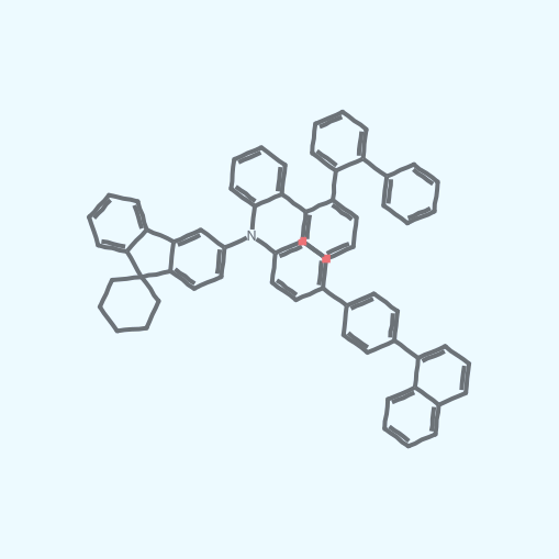 c1ccc(-c2ccccc2-c2ccccc2-c2ccccc2N(c2ccc(-c3ccc(-c4cccc5ccccc45)cc3)cc2)c2ccc3c(c2)-c2ccccc2C32CCCCC2)cc1